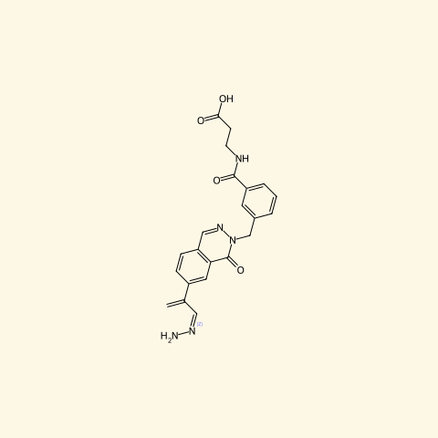 C=C(/C=N\N)c1ccc2cnn(Cc3cccc(C(=O)NCCC(=O)O)c3)c(=O)c2c1